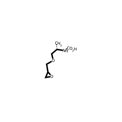 C[C@@H](COCC1CO1)NC(=O)O